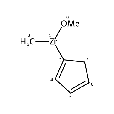 C[O][Zr]([CH3])[C]1=CC=CC1